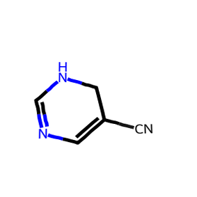 N#CC1=CN=CNC1